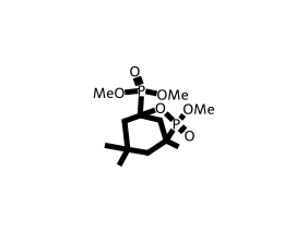 COP1(=O)OC2(P(=O)(OC)OC)CC(C)(C)CC1(C)C2